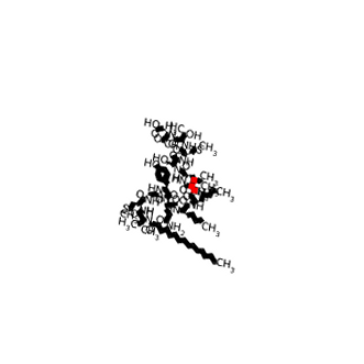 CCCCCCCCCCCCCCCC(=O)N[C@H](C(=O)N[C@@H](CCSC)C(=O)NCC(=O)N[C@@H](Cc1ccc(O)cc1)C(=O)N[C@@H](CCC(N)=O)C(=O)N[C@@H](CCCCC)C(=O)N[C@@H](CCCCC)C(=O)N[C@@H](CC(C)C)C(=O)N[C@@H](CCCC)C(=O)N[C@@H](CO)C(=O)N[C@@H](CCSC)C(=O)N[C@H](C(=O)N[C@@H](CC(=O)O)C(C)=O)[C@@H](C)O)C(C)C